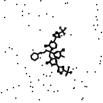 Cc1ccc(C(CCCC2CCCCC2)(Cn2ccc(-c3noc(C(F)(F)F)n3)cc2=O)n2ccc(-c3noc(C(F)(F)F)n3)cc2=O)cc1Cl